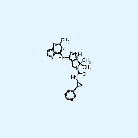 Cc1nc(Nc2n[nH]c3c2CN(C(=O)NC2CC2c2ccccc2)C3(C)C)c2sccc2n1